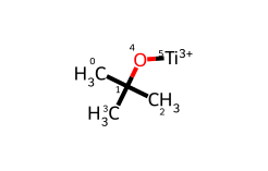 CC(C)(C)[O][Ti+3]